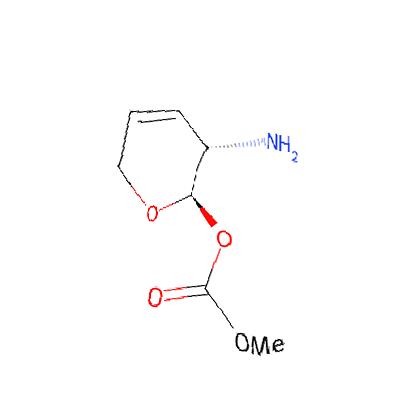 COC(=O)O[C@H]1OCC=C[C@@H]1N